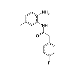 Cc1ccc(N)c(NC(=O)Cc2ccc(F)cc2)c1